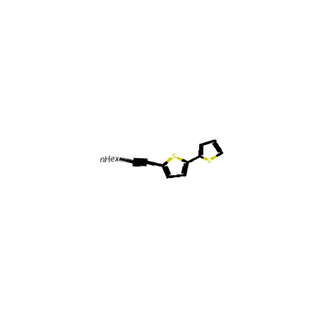 CCCCCCC#Cc1ccc(-c2cccs2)s1